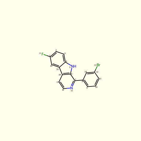 Fc1ccc2[nH]c3c(-c4cccc(Br)c4)nccc3c2c1